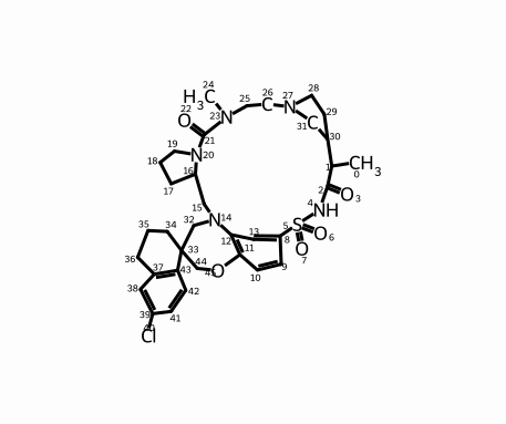 CC1C(=O)NS(=O)(=O)c2ccc3c(c2)N(CC2CCCN2C(=O)N(C)CCN2CCC1C2)CC1(CCCc2cc(Cl)ccc21)CO3